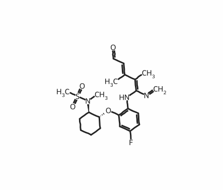 C=N/C(Nc1ccc(F)cc1O[C@@H]1CCCC[C@H]1N(C)S(C)(=O)=O)=C(C)/C(C)=C/C=O